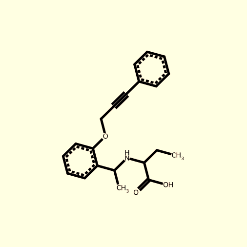 CCC(NC(C)c1ccccc1OCC#Cc1ccccc1)C(=O)O